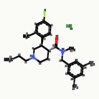 Cc1cc(F)ccc1[C@@H]1CN(CCC(=O)O)CC[C@H]1C(=O)N(C)Cc1cc(C(F)(F)F)cc(C(F)(F)F)c1.Cl